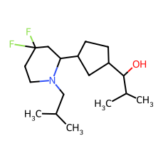 CC(C)CN1CCC(F)(F)CC1C1CCC(C(O)C(C)C)C1